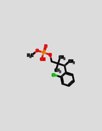 COP(=O)(O)OCC(C)(C)C(C)c1ccccc1Cl